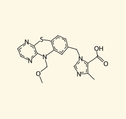 COCN1c2cc(Cn3cnc(C)c3C(=O)O)ccc2Sc2nccnc21